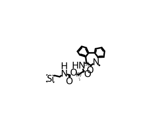 C[C@H](OC(=O)NCC[Si](C)(C)C)C(=O)N[C@@H]1C(=O)N(C)c2ccccc2-c2ccccc21